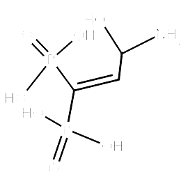 NC(O)C=C(P(=O)(O)O)P(=O)(O)O